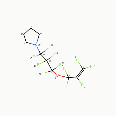 FC(F)=C(F)C(F)(F)OC(F)(F)C(F)(F)C(F)(F)N1CCCC1